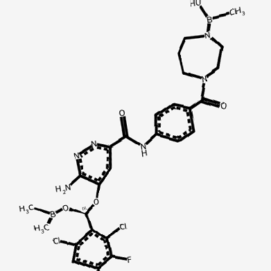 CB(C)O[C@@H](Oc1cc(C(=O)Nc2ccc(C(=O)N3CCCN(B(C)O)CC3)cc2)nnc1N)c1c(Cl)ccc(F)c1Cl